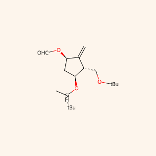 C=C1[C@H](OC=O)C[C@H](O[SiH](C)C(C)(C)C)[C@H]1COC(C)(C)C